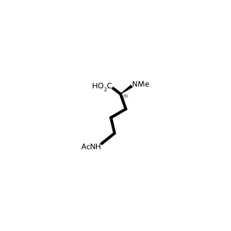 CN[C@@H](CCCNC(C)=O)C(=O)O